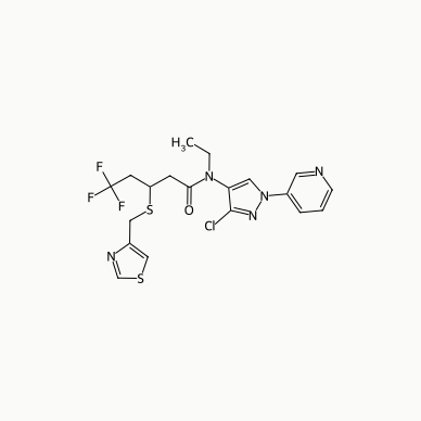 CCN(C(=O)CC(CC(F)(F)F)SCc1cscn1)c1cn(-c2cccnc2)nc1Cl